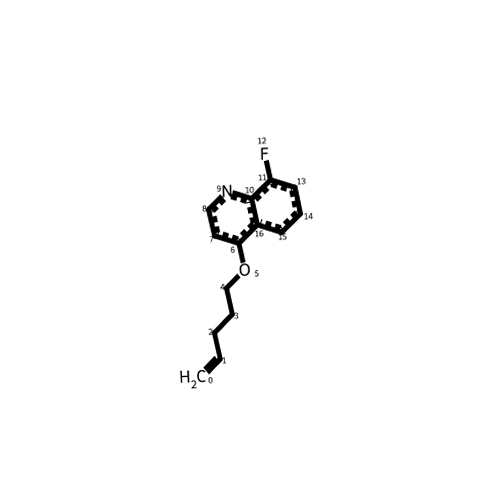 C=CCCCOc1ccnc2c(F)cccc12